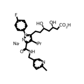 Cc1ccc(CNC(=O)c2nn(-c3ccc(F)cc3)c(CC[C@@H](O)C[C@@H](O)CC(=O)O)c2C(C)C)cn1.[Na]